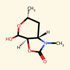 C[C@@H]1C[C@H]2[C@@H](OC(=O)N2C)C(O)O1